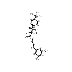 CC(C)(C(=O)NCCSc1cc(Cl)cc(Cl)c1)S(=O)(=O)c1ccc(C(F)(F)F)cn1